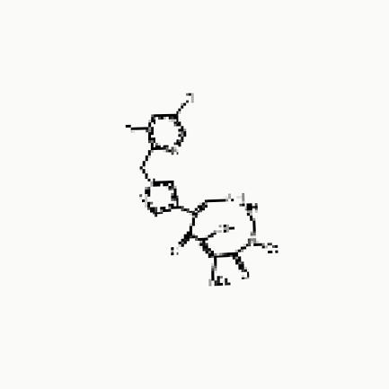 CCCC/C1=C(/O)C(=O)/C(c2cnn(Cc3ncc(Cl)cc3F)c2)=C\NNCN(CC)C1=O